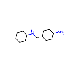 N[C@H]1CC[C@H](CNC2CCCCC2)CC1